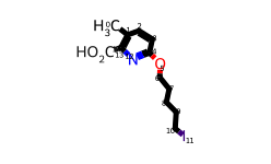 Cc1ccc(OCCCCCI)nc1C(=O)O